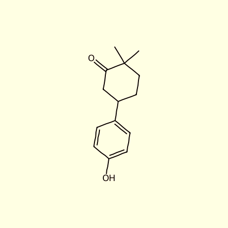 CC1(C)CCC(c2ccc(O)cc2)CC1=O